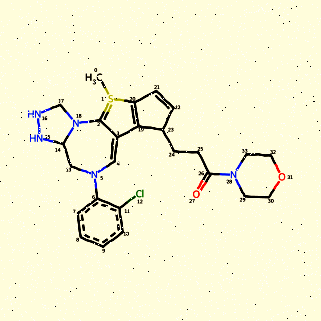 CS1=C2C(=CN(c3ccccc3Cl)CC3NNCN23)C2=C1C=CC2CCC(=O)N1CCOCC1